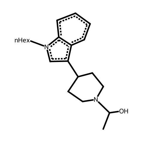 CCCCCCn1cc(C2CCN([C](C)O)CC2)c2ccccc21